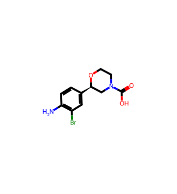 Nc1ccc([C@@H]2CN(C(=O)O)CCO2)cc1Br